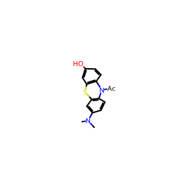 CC(=O)N1c2ccc(O)cc2Sc2cc(N(C)C)ccc21